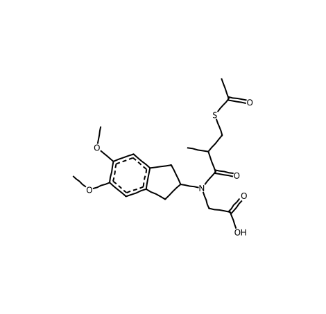 COc1cc2c(cc1OC)CC(N(CC(=O)O)C(=O)C(C)CSC(C)=O)C2